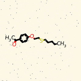 CCCCCSCCOc1ccc(C(C)=O)cc1